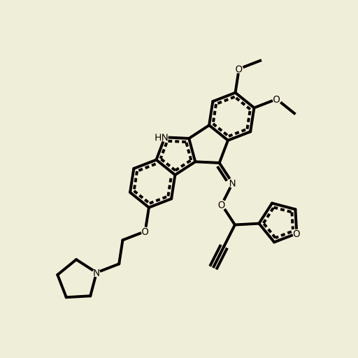 C#CC(O/N=C1/c2cc(OC)c(OC)cc2-c2[nH]c3ccc(OCCN4CCCC4)cc3c21)c1ccoc1